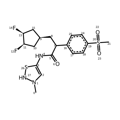 CN1C=C(NC(=O)C(C[C@H]2C[C@@H](F)[C@@H](F)C2)c2ccc(S(C)(=O)=O)cc2)SN1